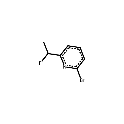 CC(F)c1cccc(Br)n1